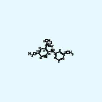 Cc1cccc(-n2c[n+](C)c3cc(C)cnc32)c1